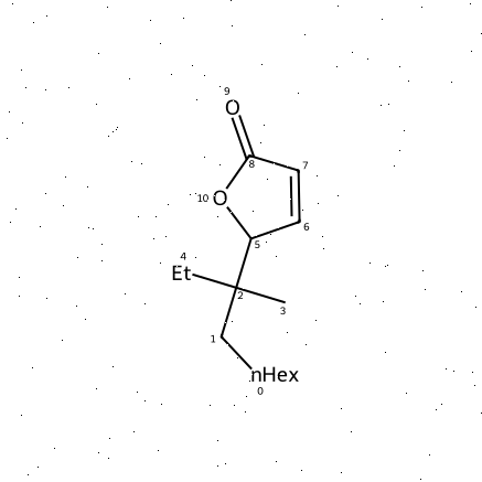 CCCCCCCC(C)(CC)C1C=CC(=O)O1